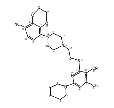 Cc1cc(N2CCCCC2)nc(SCCN2CCN(c3ccc(C#N)c4c3OCCO4)CC2)c1C#N